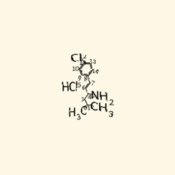 CC(C)CC(N)C=Cc1ccc(Cl)cc1.Cl